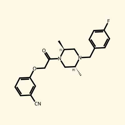 C[C@@H]1CN(C(=O)COc2cccc(C#N)c2)[C@@H](C)CN1Cc1ccc(F)cc1